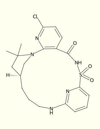 CC1(C)C[C@@H]2CCCNc3cccc(n3)S(=O)(=O)NC(=O)c3ccc(Cl)nc3N1C2